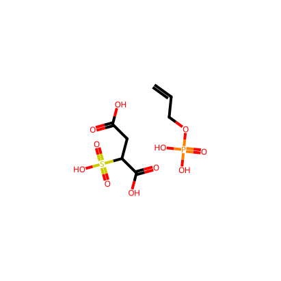 C=CCOP(=O)(O)O.O=C(O)CC(C(=O)O)S(=O)(=O)O